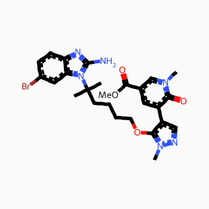 COC(=O)c1cc(-c2cnn(C)c2OCCCCC(C)(C)n2c(N)nc3ccc(Br)cc32)c(=O)n(C)c1